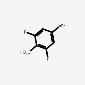 CCCc1cc(F)c(C(=O)O)c(F)c1